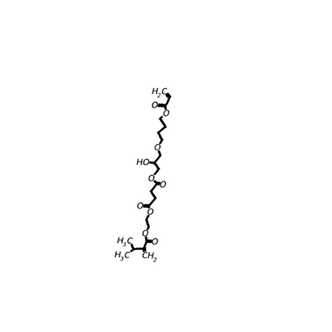 C=CC(=O)OCCCCOCC(O)COC(=O)CCC(=O)OCCOC(=O)C(=C)C(C)C